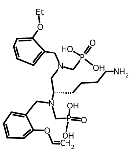 C=COc1ccccc1CN(CP(=O)(O)O)[C@@H](CCCCN)CN(Cc1ccccc1OCC)CP(=O)(O)O